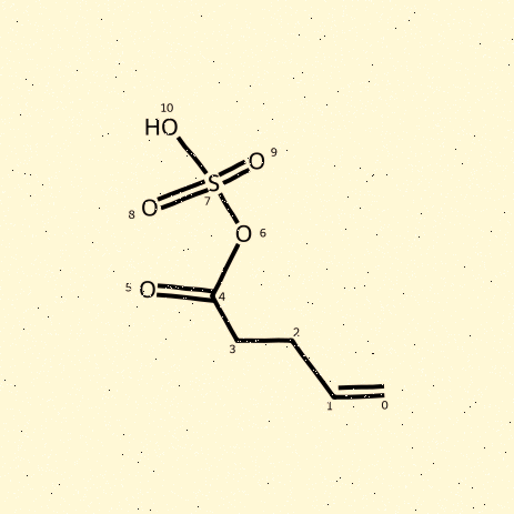 C=CCCC(=O)OS(=O)(=O)O